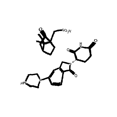 CC1(C)C2CCC1(CS(=O)(=O)O)C(=O)C2.O=C1CC[C@H](N2Cc3cc(N4CCNCC4)ccc3C2=O)C(=O)N1